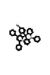 Brc1ccc(C2(c3cc(-c4ccccc4)cc(-c4ccccc4)n3)c3ccccc3N(c3ccccc3)c3ccccc32)cc1